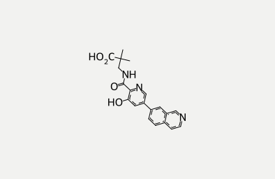 CC(C)(CNC(=O)c1ncc(-c2ccc3ccncc3c2)cc1O)C(=O)O